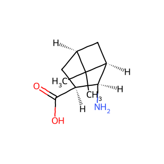 CC1(C)[C@H]2C[C@H](C(=O)O)[C@H](N)[C@@H]1C2